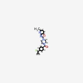 Cc1ccc2oc(N3CCN(C(=O)c4ccc(C5(F)CC5)cc4)CC3)nc2n1